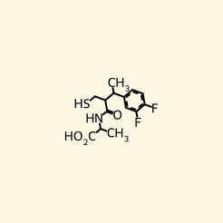 CC(NC(=O)C(CS)C(C)c1ccc(F)c(F)c1)C(=O)O